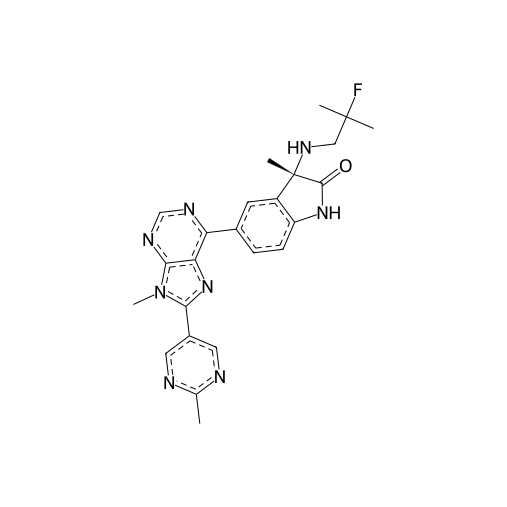 Cc1ncc(-c2nc3c(-c4ccc5c(c4)[C@](C)(NCC(C)(C)F)C(=O)N5)ncnc3n2C)cn1